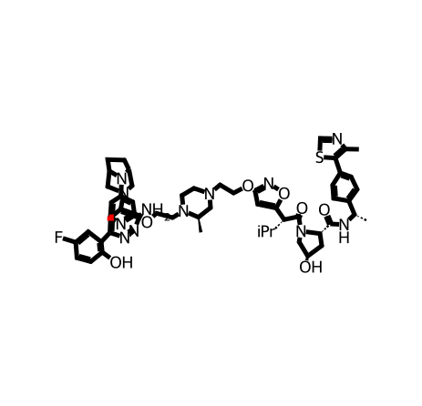 Cc1ncsc1-c1ccc([C@H](C)NC(=O)[C@@H]2C[C@@H](O)CN2C(=O)[C@@H](c2cc(OCCN3CCN(CCOc4cc(N5C6CCC5CN(c5cc(-c7cc(F)ccc7O)nnc5N)C6)ccn4)[C@H](C)C3)no2)C(C)C)cc1